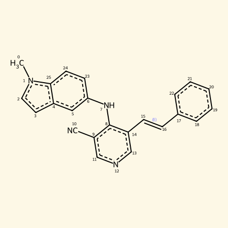 Cn1ccc2cc(Nc3c(C#N)cncc3/C=C/c3ccccc3)ccc21